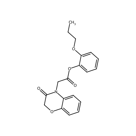 CCCOc1ccccc1OC(=O)CN1C(=O)COc2ccccc21